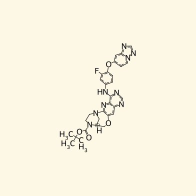 CC(C)(C)OC(=O)N1CCN2C[C@H]1COc1cc3ncnc(Nc4ccc(Oc5ccn6ncnc6c5)c(F)c4)c3nc12